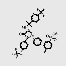 CC(C)(N[C@@H]1C[C@H](c2ccccc2)N(c2ccc(OC(F)(F)F)cc2)C1=O)c1ccc(C(F)(F)F)nc1.Cc1ccc(S(=O)(=O)O)cc1